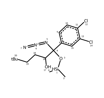 C[SiH](C)OC(N=[N+]=[N-])(c1ccc(Cl)c(Cl)c1)C(O)CCC(C)(C)C